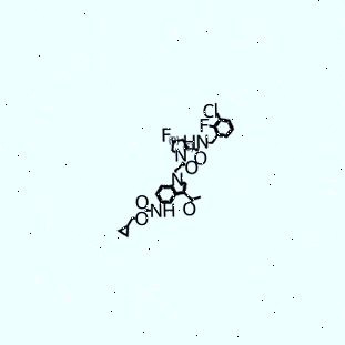 CC(=O)c1cn(CC(=O)N2C[C@H](F)C[C@H]2C(=O)NCc2cccc(Cl)c2F)c2ccc(NC(=O)OCC3CC3)cc12